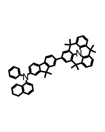 CC1(C)c2cc(-c3cc4c5c(c3)C(C)(C)c3cccc6c3N5c3c(cccc3C4(C)C)C6(C)C)ccc2-c2ccc(N(c3ccccc3)c3cccc4c3C=CCC4)cc21